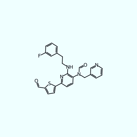 O=Cc1ccc(-c2ccc(N(C=O)Cc3cccnc3)c(NCCc3cccc(F)c3)n2)s1